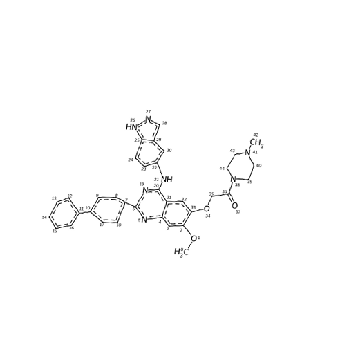 COc1cc2nc(-c3ccc(-c4ccccc4)cc3)nc(Nc3ccc4[nH]ncc4c3)c2cc1OCC(=O)N1CCN(C)CC1